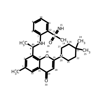 Cc1cc([C@@H](C)Nc2ccccc2S(C)(=N)=O)c2oc(N3CCC(C)(C)CC3)cc(=O)c2c1